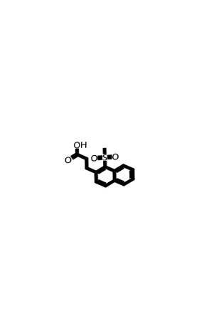 CS(=O)(=O)c1c(CCC(=O)O)ccc2ccccc12